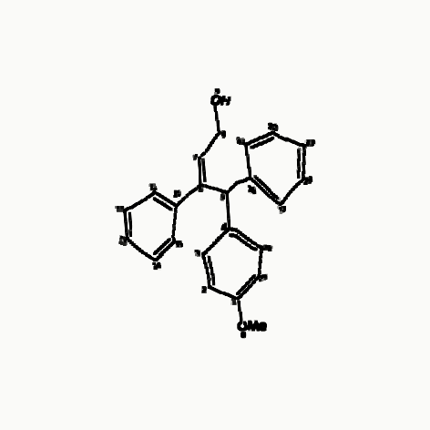 COc1ccc(C(/C(=C\CO)c2ccccc2)c2ccccc2)cc1